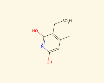 Cc1cc(O)nc(O)c1CS(=O)(=O)O